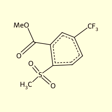 COC(=O)c1cc(C(F)(F)F)ccc1S(C)(=O)=O